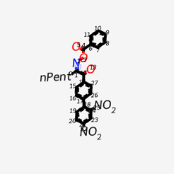 CCCCC/C(=N/OC(=O)c1ccccc1)C(=O)c1ccc(-c2ccc([N+](=O)[O-])cc2[N+](=O)[O-])cc1